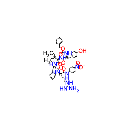 CC[C@H](C)[C@H](NC(=O)[C@H](Cc1ccc(O)cc1)NC(=O)OCc1ccccc1)C(=O)N[C@@H](Cc1ccccc1)C(=O)N[C@@H](CCCNC(=N)N)C(=O)Nc1ccc([N+](=O)[O-])cc1